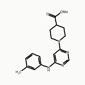 COC(=O)C1CCN(c2cc(Nc3cccc(C)c3)ncn2)CC1